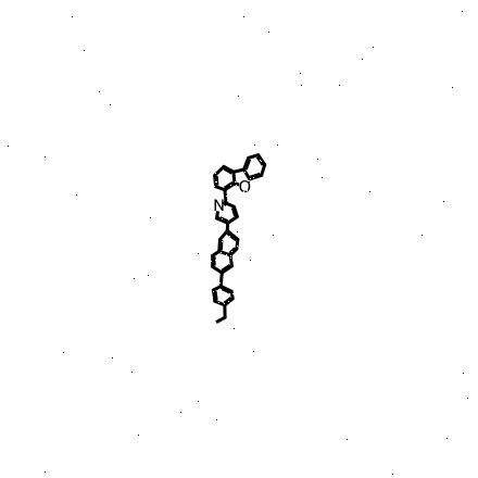 CCc1ccc(-c2ccc3cc(-c4ccc(-c5cccc6c5oc5ccccc56)nc4)ccc3c2)cc1